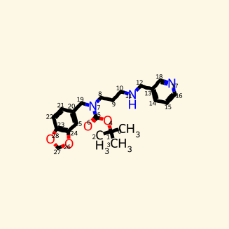 CC(C)(C)OC(=O)N(CCCNCc1cccnc1)Cc1ccc2c(c1)OCO2